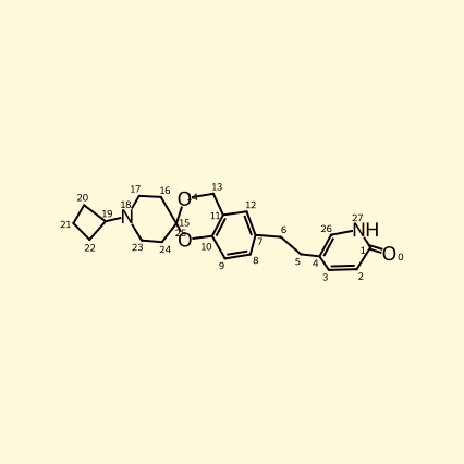 O=c1ccc(CCc2ccc3c(c2)COC2(CCN(C4CCC4)CC2)O3)c[nH]1